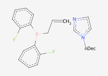 C=CCB(c1ccccc1F)c1ccccc1F.CCCCCCCCCCn1ccnc1